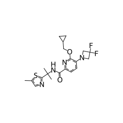 Cc1cnc(C(C)(C)NC(=O)c2ccc(N3CC(F)(F)C3)c(OCC3CC3)n2)s1